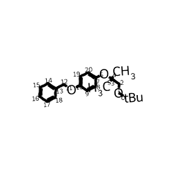 CC(C)(C)OCC(C)(C)Oc1ccc(OCc2ccccc2)cc1